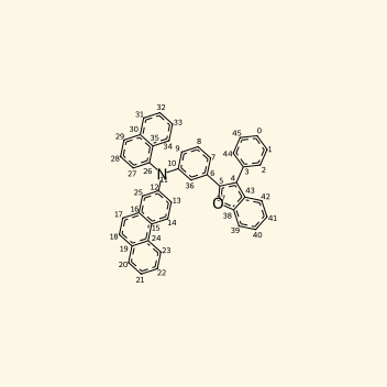 c1ccc(-c2c(-c3cccc(N(c4ccc5c(ccc6ccccc65)c4)c4cccc5ccccc45)c3)oc3ccccc23)cc1